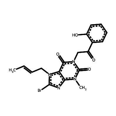 CC=CCn1c(Br)nc2c1c(=O)n(CC(=O)c1ccccc1O)c(=O)n2C